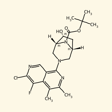 Cc1nc(N2C[C@H]3C[C@@H](O)[C@@H](C2)N3C(=O)OC(C)(C)C)c2cnc(Cl)c(F)c2c1C